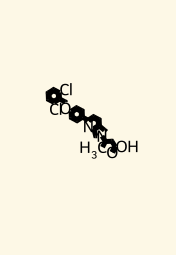 CC(CC(=O)O)N1Cc2ccc(-c3ccc(OCc4c(Cl)cccc4Cl)cc3)nc2C1